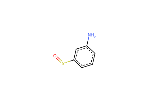 Nc1cccc([S+]=O)c1